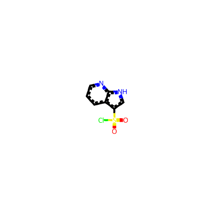 O=S(=O)(Cl)c1c[nH]c2ncccc12